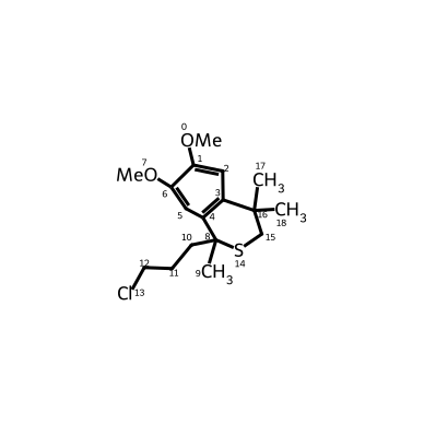 COc1cc2c(cc1OC)C(C)(CCCCl)SCC2(C)C